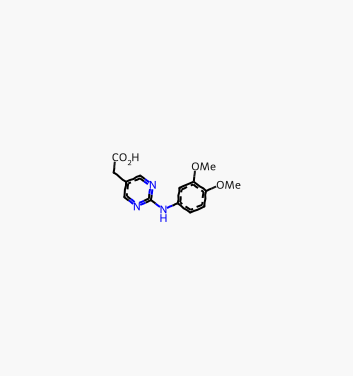 COc1ccc(Nc2ncc(CC(=O)O)cn2)cc1OC